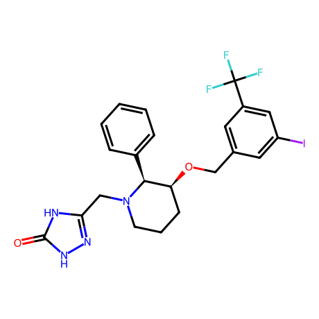 O=c1[nH]nc(CN2CCC[C@H](OCc3cc(I)cc(C(F)(F)F)c3)[C@@H]2c2ccccc2)[nH]1